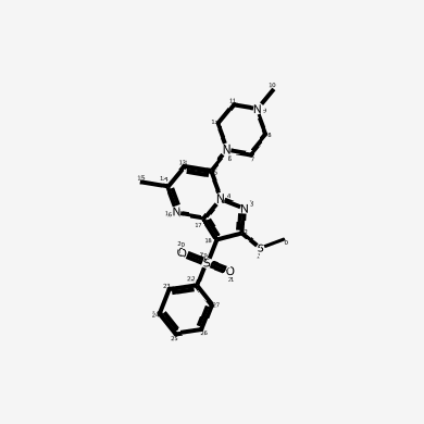 CSc1nn2c(N3CCN(C)CC3)cc(C)nc2c1S(=O)(=O)c1ccccc1